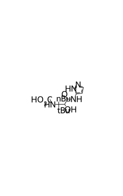 CCCCC(NC(=O)O)(C(O)C(=O)Nc1ccn[nH]1)C(C)(C)C